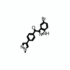 Cn1cc(-c2ccc(C(=O)c3n[nH]c4ccc(Br)cc34)cc2)cn1